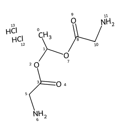 CC(OC(=O)CN)OC(=O)CN.Cl.Cl